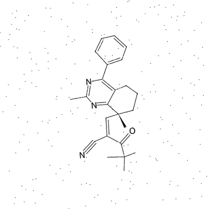 Cc1nc(-c2ccccc2)c2c(n1)[C@@](C)(/C=C(/C#N)C(=O)C(C)(C)C)CCC2